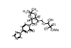 CCC(CC)(OC)C(O)OC[C@H]1O[C@@H](n2ccc(-n3cncn3)nc2=O)[C@@H]2OC(C)(C)O[C@@H]21